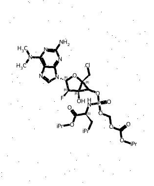 CC(C)C[C@H](NP(=O)(OCOC(=O)OC(C)C)OC1[C@@]2(CCl)O[C@@H](n3cnc4c(N(C)C)nc(N)nc43)[C@H](F)[C@@]12O)C(=O)OC(C)C